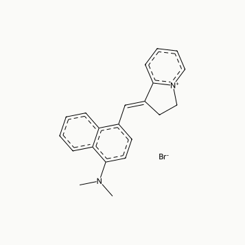 CN(C)c1ccc(C=C2CC[n+]3ccccc32)c2ccccc12.[Br-]